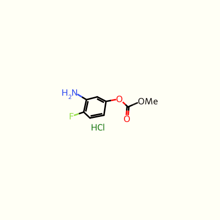 COC(=O)Oc1ccc(F)c(N)c1.Cl